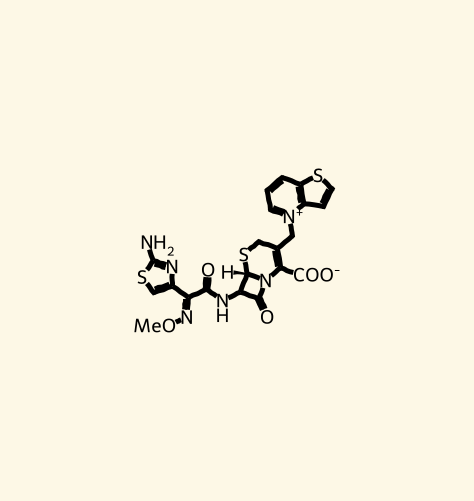 CON=C(C(=O)NC1C(=O)N2C(C(=O)[O-])=C(C[n+]3cccc4sccc43)CS[C@@H]12)c1csc(N)n1